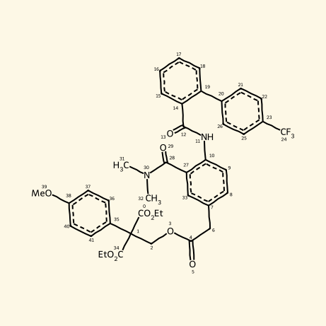 CCOC(=O)C(COC(=O)Cc1ccc(NC(=O)c2ccccc2-c2ccc(C(F)(F)F)cc2)c(C(=O)N(C)C)c1)(C(=O)OCC)c1ccc(OC)cc1